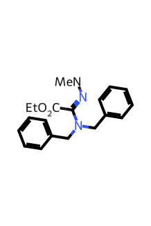 CCOC(=O)C(=NNC)N(Cc1ccccc1)Cc1ccccc1